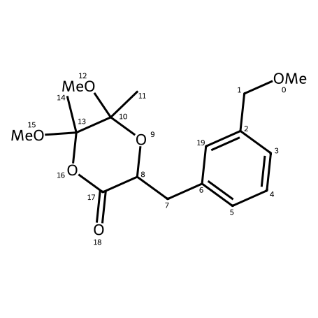 COCc1cccc(CC2OC(C)(OC)C(C)(OC)OC2=O)c1